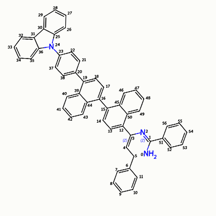 N/C(=N\C(=C/Cc1ccccc1)c1ccc(-c2ccc(-c3ccc(-n4c5ccccc5c5ccccc54)cc3)c3ccccc23)c2ccccc12)c1ccccc1